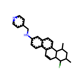 CC1CC(C)C2c3ccc4cc(NCc5ccncc5)ccc4c3C=CC2C1F